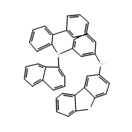 c1ccc(-c2ccccc2N(c2cccc(Nc3ccc4sc5ccccc5c4c3)c2)c2cccc3ccccc23)cc1